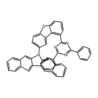 c1ccc(-c2nc(-c3ccccc3)nc(-c3cccc4oc5ccc(-n6c7cc8ccccc8cc7c7cc8ccccc8cc76)cc5c34)n2)cc1